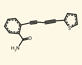 NC(=O)c1ccccc1C#CC#Cc1cccs1